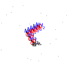 NCC(=O)[O-].NCC(=O)[O-].NCC(=O)[O-].NCC(=O)[O-].NCC(=O)[O-].NCC(=O)[O-].NCC(=O)[O-].[Al+3].[Zr+4]